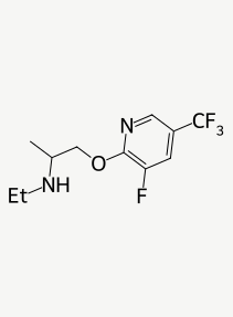 CCNC(C)COc1ncc(C(F)(F)F)cc1F